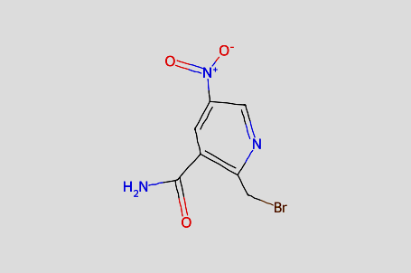 NC(=O)c1cc([N+](=O)[O-])cnc1CBr